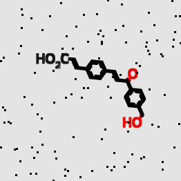 O=C(O)C=Cc1ccc(C=CC(=O)c2ccc(CO)cc2)cc1